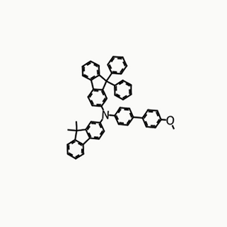 COc1ccc(-c2ccc(N(c3ccc4c(c3)C(C)(C)c3ccccc3-4)c3ccc4c(c3)C(c3ccccc3)(c3ccccc3)c3ccccc3-4)cc2)cc1